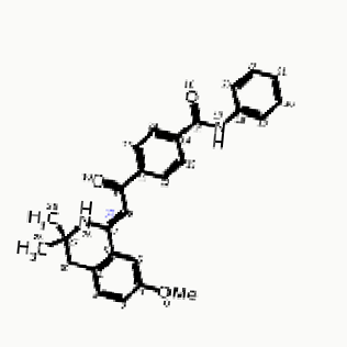 COc1ccc2c(c1)/C(=C/C(=O)c1ccc(C(=O)Nc3ccccc3)cc1)NC(C)(C)C2